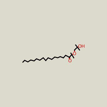 CCCCCCCCCCCCCCCCC(=O)C(C)(C)OCC(C)(C)O